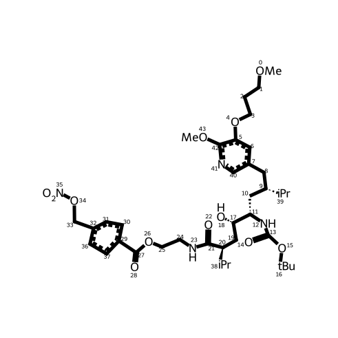 COCCCOc1cc(C[C@@H](C[C@H](NC(=O)OC(C)(C)C)[C@@H](O)C[C@H](C(=O)NCCOC(=O)c2ccc(CO[N+](=O)[O-])cc2)C(C)C)C(C)C)cnc1OC